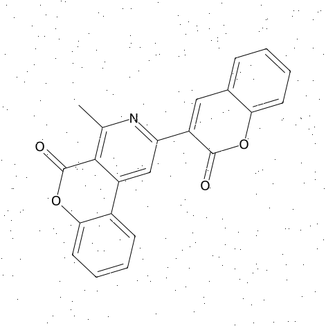 Cc1nc(-c2cc3ccccc3oc2=O)cc2c1c(=O)oc1ccccc12